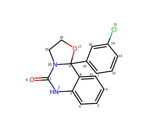 O=C1Nc2ccccc2C2(c3cccc(Cl)c3)OCCN12